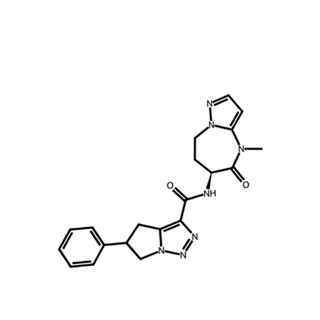 CN1C(=O)[C@@H](NC(=O)c2nnn3c2CC(c2ccccc2)C3)CCn2nccc21